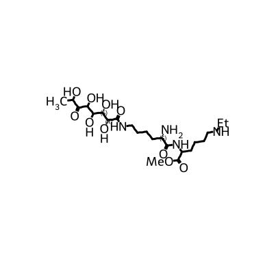 CCNCCCCC(NC(=O)[C@@H](N)CCCCNC(=O)[C@H](O)[C@@H](O)C(O)C(O)C(=O)C(C)O)C(=O)OC